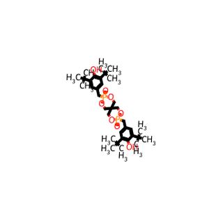 CC(C)(C)c1cc(CP2(=O)OCC3(CO2)COP(=O)(Cc2cc(C(C)(C)C)c(O)c(C(C)(C)C)c2)OC3)cc(C(C)(C)C)c1O